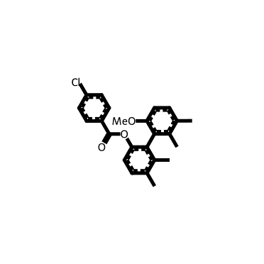 COc1ccc(C)c(C)c1-c1c(OC(=O)c2ccc(Cl)cc2)ccc(C)c1C